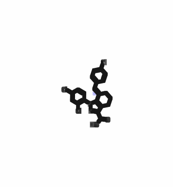 O=C(O)c1nn(-c2ccc(Cl)cc2Cl)c2c1CCC/C2=C\c1ccc(Cl)cc1